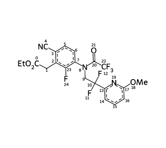 CCOC(=O)Cc1c(C#N)ccc(N(CC(F)(F)c2cccc(OC)n2)C(=O)C(F)(F)F)c1F